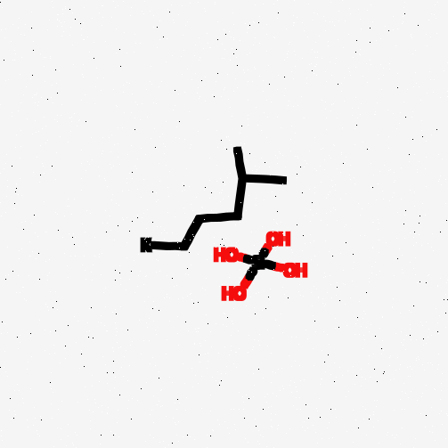 CC(C)CC[CH2][K].O[Si](O)(O)O